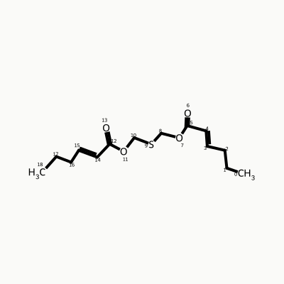 CCC/C=C/C(=O)OCSCOC(=O)/C=C/CCC